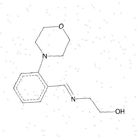 OCCN=Cc1ccccc1N1CCOCC1